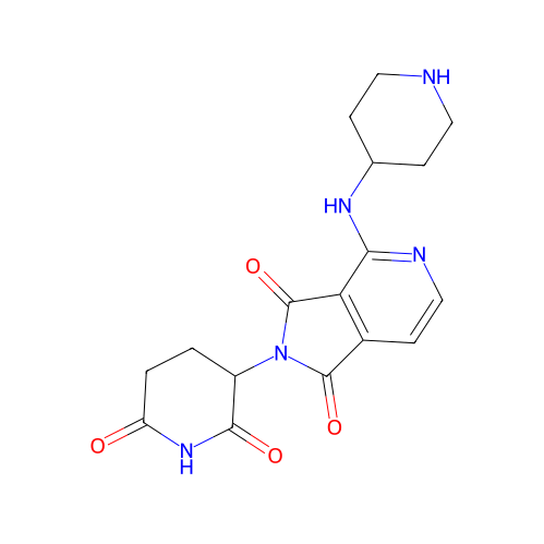 O=C1CCC(N2C(=O)c3ccnc(NC4CCNCC4)c3C2=O)C(=O)N1